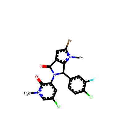 CC(C)n1c(Br)cc2c1C(c1ccc(Cl)c(F)c1)N(c1cc(Cl)cn(C)c1=O)C2=O